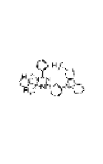 CC1C=Cc2c3c(n(C4=CC(C5=NC(c6ccccc6)N(C)C(C)(c6ccccc6)N5)CC=C4)c2C1)CCC=C3